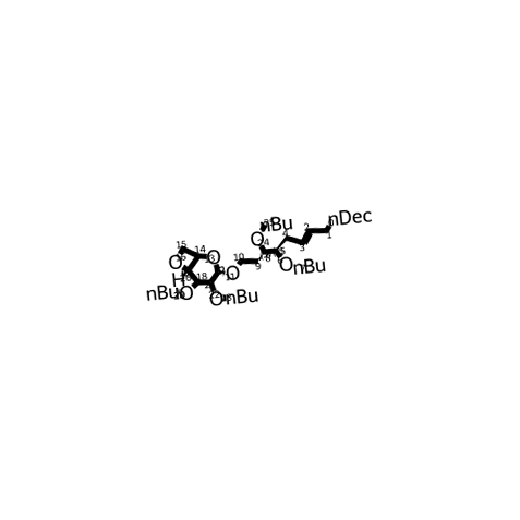 CCCCCCCCCCCC=CC[C@@H](OCCCC)[C@H](CCO[C@H]1OC2CO[C@@H]2C(OCCCC)C1OCCCC)OCCCC